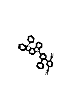 N#Cc1ccc(C#N)c(-c2ccc(-n3c4ccccc4c4c3ccc3c5ccccc5n(-c5ccccc5)c34)cc2-c2ccccc2)c1